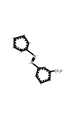 O=C(O)c1cccc(N=Nc2ccccc2)c1